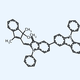 C=c1/c(=C\C2=C(C)c3ccccc3C2(C)C)n(-c2ccccc2)c2ccc(-c3ccc4c(c3)c3ccccc3n4-c3ccccc3)cc12